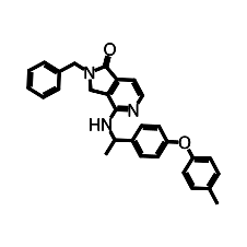 Cc1ccc(Oc2ccc(C(C)Nc3nccc4c3CN(Cc3ccccc3)C4=O)cc2)cc1